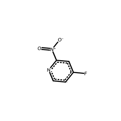 O=[N+]([O-])c1cc(F)[c]cn1